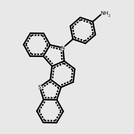 Nc1ccc(-n2c3ccccc3c3c4sc5ccccc5c4ccc32)cc1